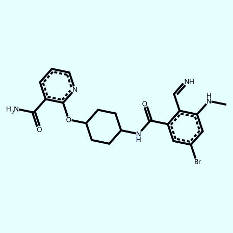 CNc1cc(Br)cc(C(=O)NC2CCC(Oc3ncccc3C(N)=O)CC2)c1C=N